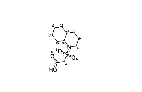 O=C(O)CS(=O)(=O)N1CCCC2CCCCC21